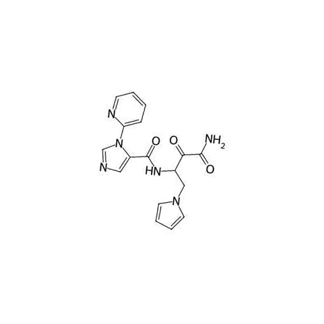 NC(=O)C(=O)C(Cn1cccc1)NC(=O)c1cncn1-c1ccccn1